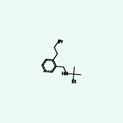 CCC(C)(C)NCc1c[c]ccc1CCC(C)C